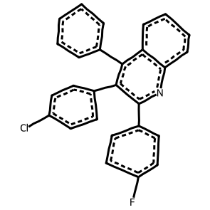 Fc1ccc(-c2nc3ccccc3c(-c3ccccc3)c2-c2ccc(Cl)cc2)cc1